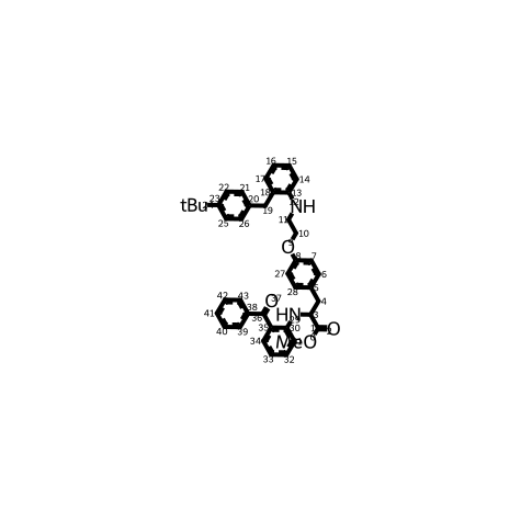 COC(=O)C(Cc1ccc(OCCNc2ccccc2Cc2ccc(C(C)(C)C)cc2)cc1)Nc1ccccc1C(=O)c1ccccc1